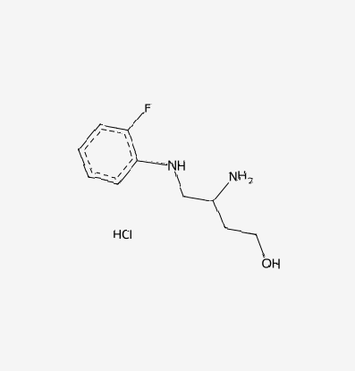 Cl.NC(CCO)CNc1ccccc1F